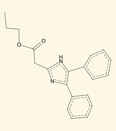 CCCOC(=O)Cc1nc(-c2ccccc2)c(-c2ccccc2)[nH]1